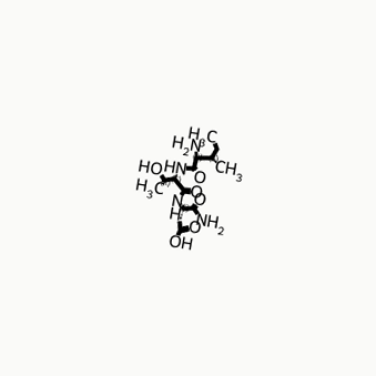 CC[C@H](C)[C@H](N)C(=O)N[C@H](C(=O)N[C@@H](CC(=O)O)C(N)=O)[C@@H](C)O